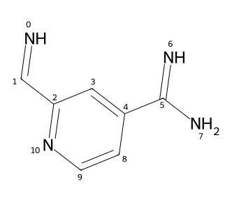 N=Cc1cc(C(=N)N)ccn1